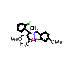 COC[C@@H]([C@@H](C)O)[C@](C)(NCc1ccc(OC)cc1OC)c1ccccc1F